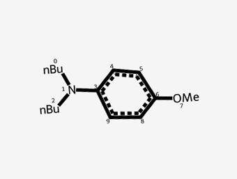 CCCCN(CCCC)c1ccc(OC)cc1